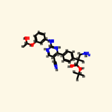 CC(O)Oc1cccc(Nc2ncc(C#N)c(-c3ccc(C(C)(CN)C(=O)OC(C)(C)C)cc3)n2)c1